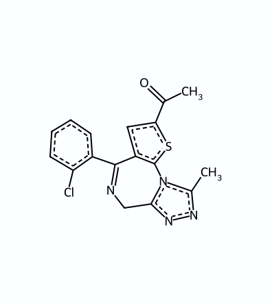 CC(=O)c1cc2c(s1)-n1c(C)nnc1CN=C2c1ccccc1Cl